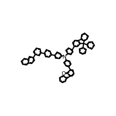 c1ccc(C2(c3ccccc3)c3ccccc3-c3ccc(-c4ccc(N(c5ccc(-c6ccc(-c7cccc(-c8ccc9ccccc9c8)c7)cc6)cc5)c5ccc(-c6cccc7c6oc6ccccc67)cc5)cc4)cc32)cc1